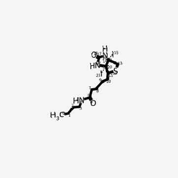 CCCCNC(=O)CCCCC1SC[C@]2(I)NC(=O)N[C@]12I